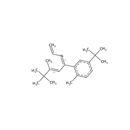 C=C/N=C(\C=C(/C)C(C)(C)C)c1cc(C(C)(C)C)ccc1C